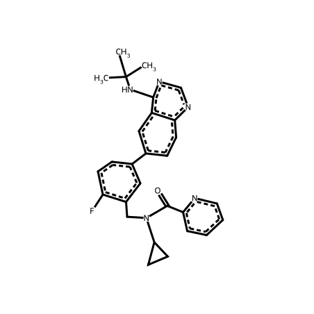 CC(C)(C)Nc1ncnc2ccc(-c3ccc(F)c(CN(C(=O)c4ccccn4)C4CC4)c3)cc12